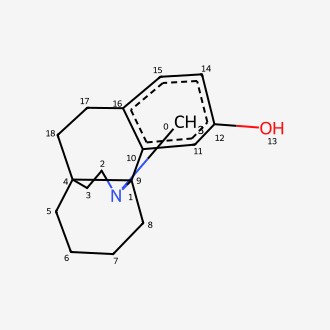 CN1CCC23CCCCC12c1cc(O)ccc1CC3